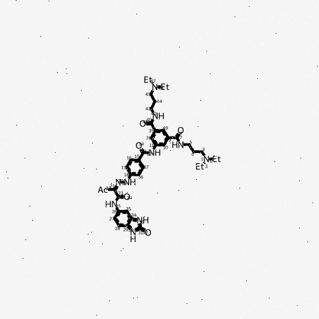 CCN(CC)CCCNC(=O)c1cc(NC(=O)c2ccc(N/N=C(/C(C)=O)C(=O)Nc3ccc4[nH]c(=O)[nH]c4c3)cc2)cc(C(=O)NCCCN(CC)CC)c1